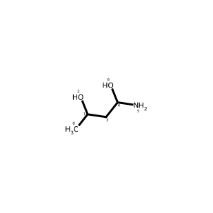 C[C](O)CC(N)O